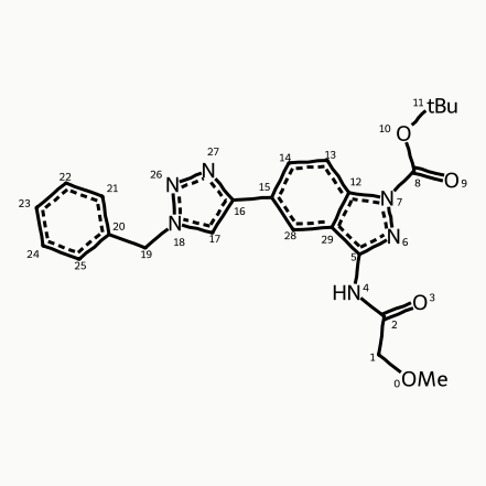 COCC(=O)Nc1nn(C(=O)OC(C)(C)C)c2ccc(-c3cn(Cc4ccccc4)nn3)cc12